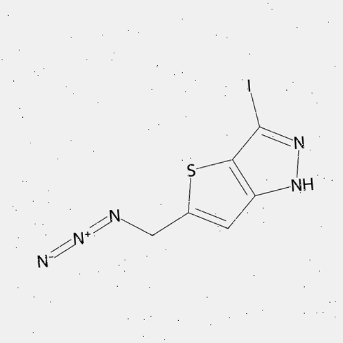 [N-]=[N+]=NCc1cc2[nH]nc(I)c2s1